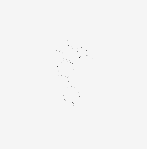 CCOC(=O)c1c2n(c3cc(N4CCN(CC)CC4)c(F)cc3c1=O)C(C)S2